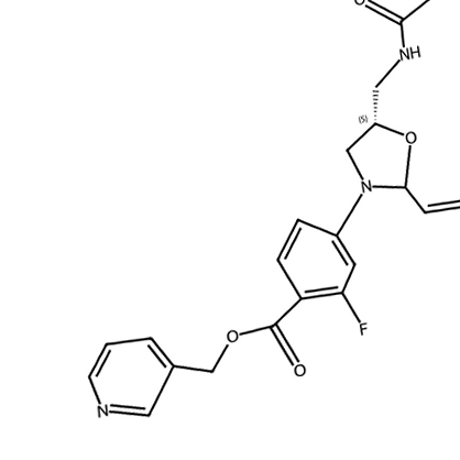 CC(=O)NC[C@H]1CN(c2ccc(C(=O)OCc3cccnc3)c(F)c2)C(C=O)O1